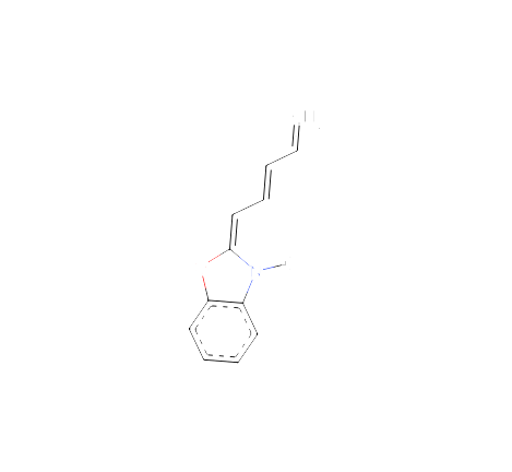 C=CC=CC=C1Oc2ccccc2N1C